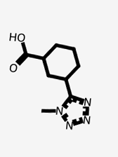 Cn1nnnc1C1CCCC(C(=O)O)C1